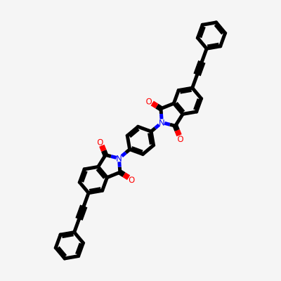 O=C1c2ccc(C#Cc3ccccc3)cc2C(=O)N1c1ccc(N2C(=O)c3ccc(C#Cc4ccccc4)cc3C2=O)cc1